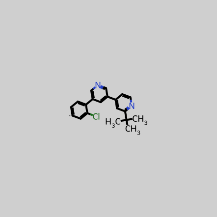 CC(C)(C)c1cc(-c2cncc(-c3cc[c]cc3Cl)c2)ccn1